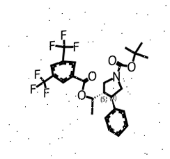 CC(OC(=O)c1cc(C(F)(F)F)cc(C(F)(F)F)c1)[C@@H]1CN(C(=O)OC(C)(C)C)C[C@H]1c1ccccc1